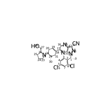 C[C@H](c1ccc(Cl)cc1Cl)n1nc(C#N)c2ncc(C3=CCC(N4CCC[C@H]4CO)[C@@H](C)C3)nc21